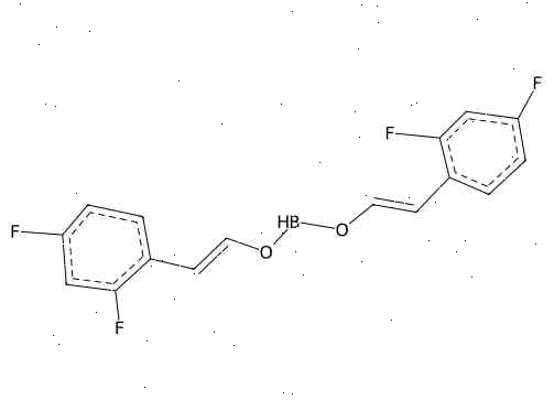 Fc1ccc(C=COBOC=Cc2ccc(F)cc2F)c(F)c1